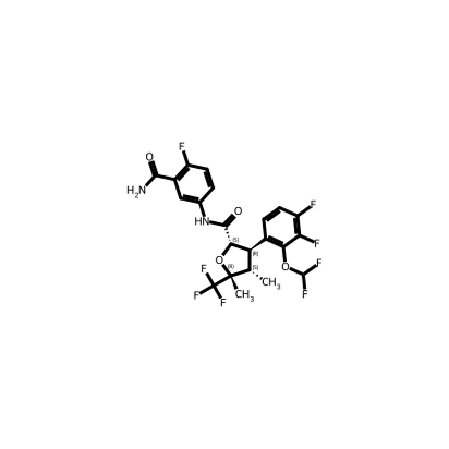 C[C@H]1[C@H](c2ccc(F)c(F)c2OC(F)F)[C@@H](C(=O)Nc2ccc(F)c(C(N)=O)c2)O[C@@]1(C)C(F)(F)F